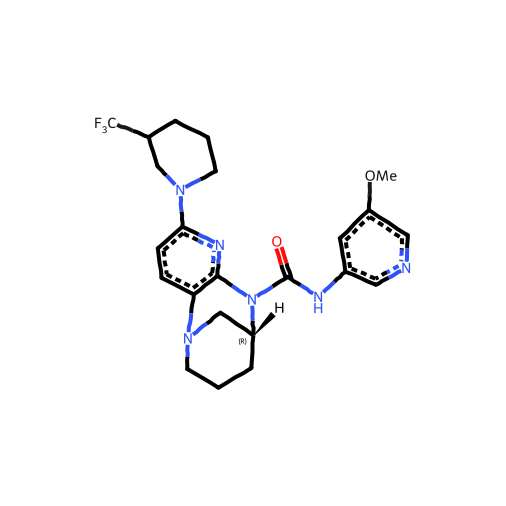 COc1cncc(NC(=O)N2c3nc(N4CCCC(C(F)(F)F)C4)ccc3N3CCC[C@@H]2C3)c1